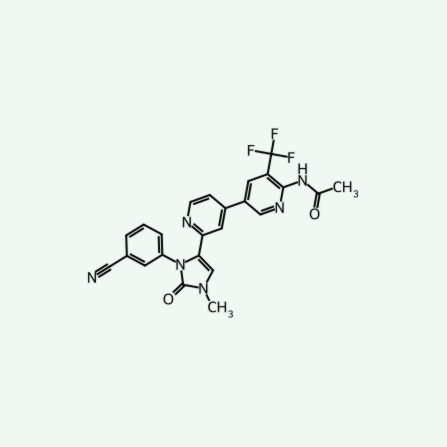 CC(=O)Nc1ncc(-c2ccnc(-c3cn(C)c(=O)n3-c3cccc(C#N)c3)c2)cc1C(F)(F)F